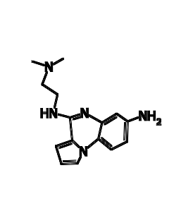 CN(C)CCNc1nc2cc(N)ccc2n2cccc12